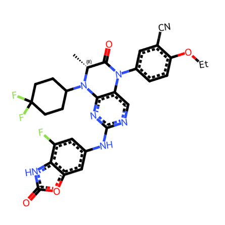 CCOc1ccc(N2C(=O)[C@@H](C)N(C3CCC(F)(F)CC3)c3nc(Nc4cc(F)c5[nH]c(=O)oc5c4)ncc32)cc1C#N